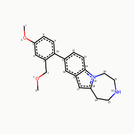 COCc1cc(OC)ccc1-c1ccc2c(c1)cc1n2CCNCC1